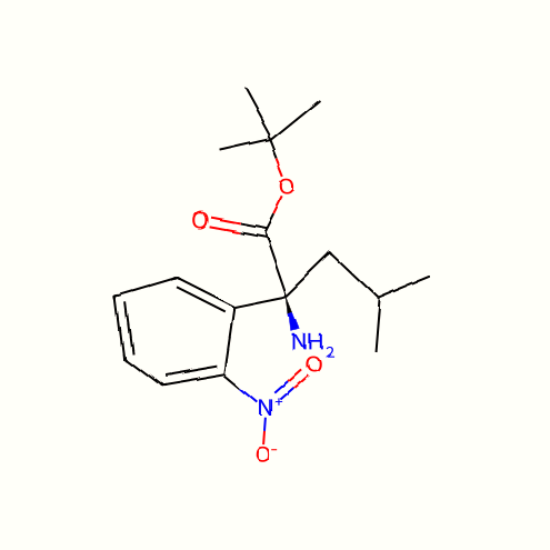 CC(C)C[C@@](N)(C(=O)OC(C)(C)C)c1ccccc1[N+](=O)[O-]